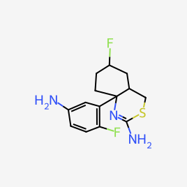 NC1=NC2(c3cc(N)ccc3F)CCC(F)CC2CS1